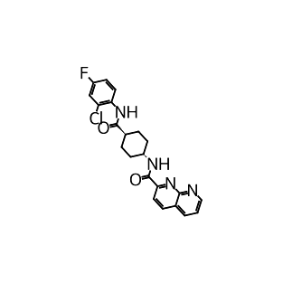 O=C(N[C@H]1CC[C@H](C(=O)Nc2ccc(F)cc2Cl)CC1)c1ccc2cccnc2n1